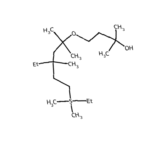 CCC(C)(CCS(C)(C)CC)CC(C)(C)OCCC(C)(C)O